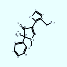 CN1C=C(c2sccc2CF)C(=O)C1(N)c1ccccc1